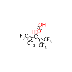 CC(C)(O)C(C)(C)OBc1cc(-c2cc(C(F)(F)F)cc(C(F)(F)F)c2)cc(-c2cc(C(F)(F)F)cc(C(F)(F)F)c2)c1